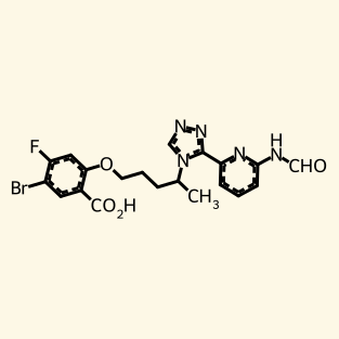 CC(CCCOc1cc(F)c(Br)cc1C(=O)O)n1cnnc1-c1cccc(NC=O)n1